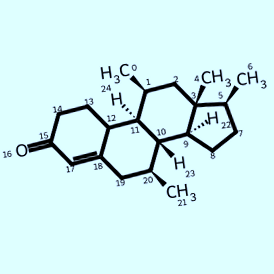 C[C@H]1C[C@]2(C)[C@@H](C)CC[C@H]2[C@H]2[C@H]1C1CCC(=O)C=C1C[C@@H]2C